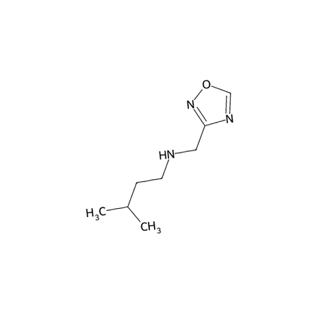 CC(C)CCNCc1ncon1